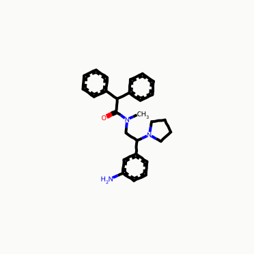 CN(CC(c1cccc(N)c1)N1CCCC1)C(=O)C(c1ccccc1)c1ccccc1